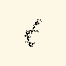 Cc1cc(OCCN(C)C(=O)Cn2cc(NC(=O)C=CNc3ccnc(F)n3)cn2)no1